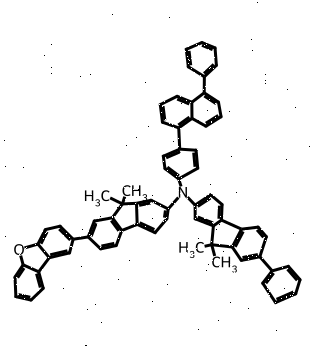 CC1(C)c2cc(-c3ccccc3)ccc2-c2ccc(N(c3ccc(-c4cccc5c(-c6ccccc6)cccc45)cc3)c3ccc4c(c3)C(C)(C)c3cc(-c5ccc6oc7ccccc7c6c5)ccc3-4)cc21